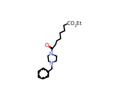 CCOC(=O)CCCCCCC(=O)N1CCN(Cc2ccccc2)CC1